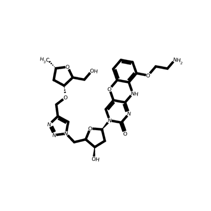 C[C@H]1C[C@@H](OCc2cn(CC3O[C@@H](n4cc5c(nc4=O)Nc4c(OCCN)cccc4O5)C[C@H]3O)nn2)C(CO)O1